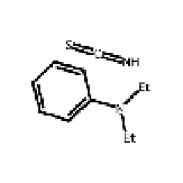 CCN(CC)c1ccccc1.N=C=S